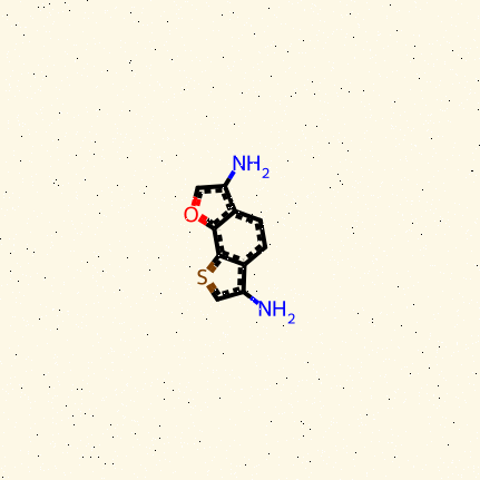 Nc1coc2c1ccc1c(N)csc12